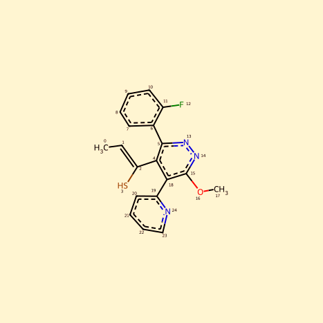 C/C=C(\S)c1c(-c2ccccc2F)nnc(OC)c1-c1ccccn1